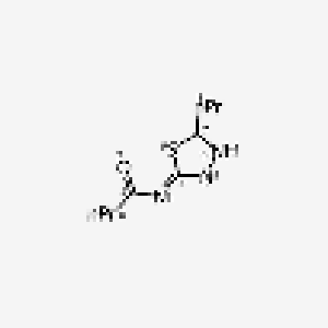 CCCC(=O)N=C1[N]NC(CCC)S1